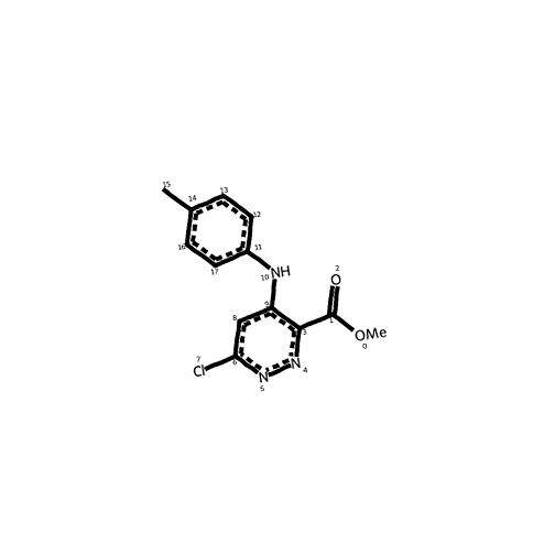 COC(=O)c1nnc(Cl)cc1Nc1ccc(C)cc1